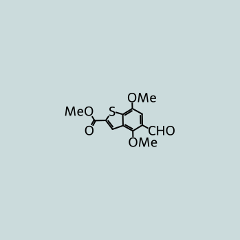 COC(=O)c1cc2c(OC)c(C=O)cc(OC)c2s1